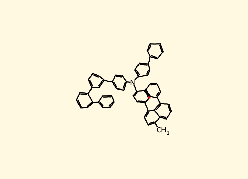 Cc1ccc(-c2ccc(N(c3ccc(-c4ccccc4)cc3)c3ccc(-c4cccc(-c5ccccc5-c5ccccc5)c4)cc3)cc2)c2c(-c3ccccc3)cccc12